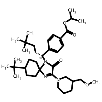 COCC1CCCN(C2=NC3(CCC(C(C)(C)C)CC3)N([C@H](CCC(C)(C)C)c3ccc(C(=O)OC(C)C)cc3)C2=O)C1